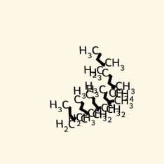 C.C=C(C)CCC.C=C(C)CCC.C=C(C)CCC.C=C(C)CCC.C=C(C)CCC.C=C(C)CCC